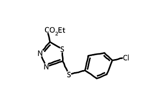 CCOC(=O)c1nnc(Sc2ccc(Cl)cc2)s1